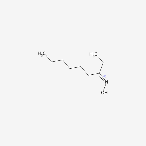 CCCCCC/C(CC)=N\O